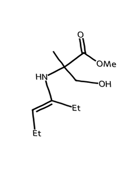 CC/C=C(\CC)NC(C)(CO)C(=O)OC